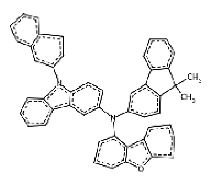 CC1(C)c2ccccc2-c2cc(N(c3ccc4c(c3)c3ccccc3n4-c3ccc4ccccc4c3)c3cccc4oc5ccccc5c34)ccc21